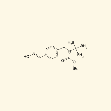 BC(B)(B)N(Cc1ccc(/C=N/O)cc1)C(=O)OC(C)(C)C